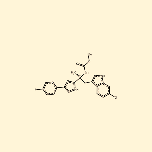 CC(C)(C)OC(=O)N[C@](C)(Cc1c[nH]c2cc(Cl)ccc12)c1nc(-c2ccc(F)cc2)c[nH]1